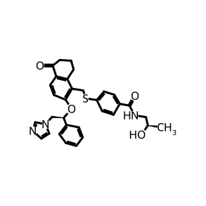 C[C@@H](O)CNC(=O)c1ccc(SCc2c(O[C@H](Cn3ccnc3)c3ccccc3)ccc3c2CCCC3=O)cc1